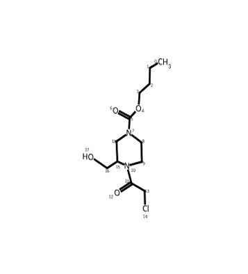 CCCCOC(=O)N1CCN(C(=O)CCl)C(CO)C1